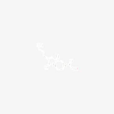 O=C(O)N1CCN2C(=O)[C@@H](CCCO)C[C@H]2C1